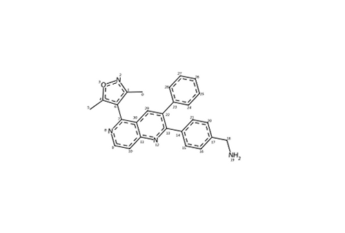 Cc1noc(C)c1-c1nccc2nc(-c3ccc(CN)cc3)c(-c3ccccc3)cc12